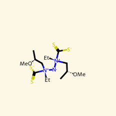 CC[N@@+](C[C@@H](C)OC)([N][N@@+](CC)(C[C@@H](C)OC)C(=S)[S-])C(=S)[S-]